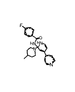 CC1CCN(C2(NC(=O)c3ccc(F)cc3)C=C(c3ccncc3)C=CN2)CC1